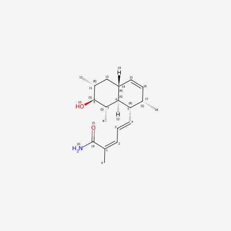 CC(=CC=C[C@@H]1[C@H]2[C@H](C)[C@@H](O)[C@H](C)C[C@@H]2C=C[C@@H]1C)C(N)=O